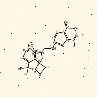 Cc1noc(=O)c2ccc(NC/C(CC3(c4ccccc4C(F)(F)F)CCC3)=N\O)cc12